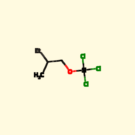 CCC(C)CO[Si](Cl)(Cl)Cl